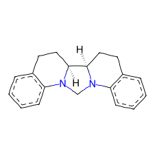 c1ccc2c(c1)CC[C@@H]1[C@@H]3CCc4ccccc4N3CN21